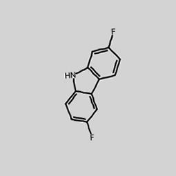 Fc1ccc2c(c1)[nH]c1ccc(F)cc12